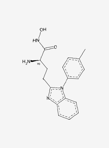 Cc1ccc(-n2c(CC[C@@H](N)C(=O)NO)nc3ccccc32)cc1